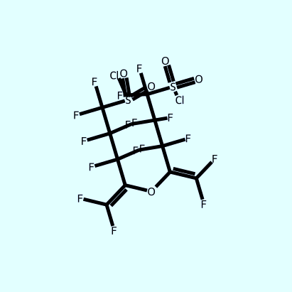 O=S(=O)(Cl)C(F)(F)C(F)(F)C(F)(F)C(OC(=C(F)F)C(F)(F)C(F)(F)C(F)(F)S(=O)(=O)Cl)=C(F)F